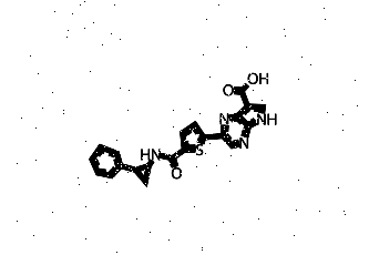 O=C(NC1CC1c1ccccc1)c1ccc(-c2cnc3[nH]cc(C(=O)O)c3n2)s1